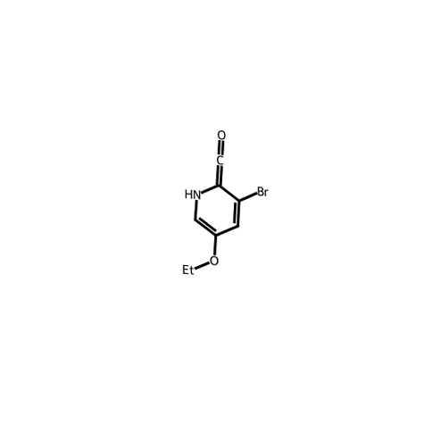 CCOC1=CNC(=C=O)C(Br)=C1